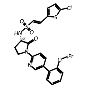 CC(C)Oc1ccccc1-c1ccc(N2CC[C@H](NS(=O)(=O)C=Cc3ccc(Cl)s3)C2=O)nc1